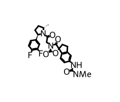 CNC(=O)Nc1ccc2c(c1)CCC21OC(=O)N(CC(=O)N2[C@@H](c3ccc(F)c(F)c3)CC[C@@H]2C)C1=O